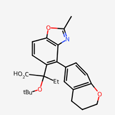 CCC(OC(C)(C)C)(C(=O)O)c1ccc2oc(C)nc2c1-c1ccc2c(c1)CCCO2